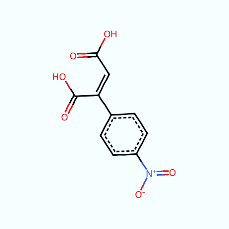 O=C(O)C=C(C(=O)O)c1ccc([N+](=O)[O-])cc1